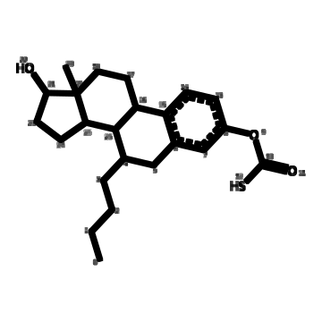 CCCCC1Cc2cc(OC(=O)S)ccc2C2CCC3(C)C(O)CCC3C12